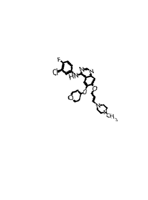 CN1CCN(CCCOc2cc3ncnc(Nc4ccc(F)c(Cl)c4)c3cc2OC2CCOCC2)CC1